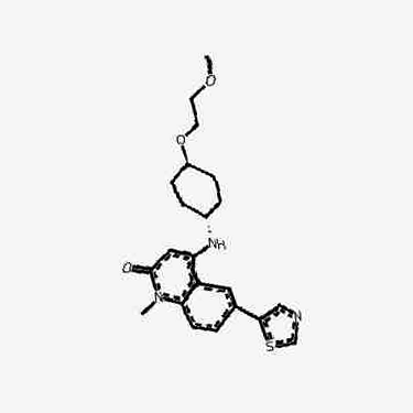 COCCO[C@H]1CC[C@H](Nc2cc(=O)n(C)c3ccc(-c4cncs4)cc23)CC1